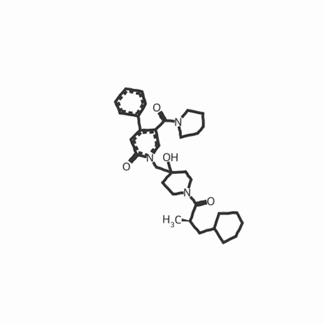 C[C@H](CC1CCCCC1)C(=O)N1CCC(O)(Cn2cc(C(=O)N3CCCCC3)c(-c3ccccc3)cc2=O)CC1